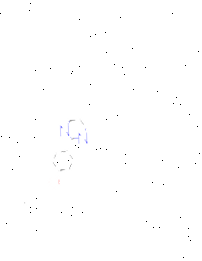 CCCCCCCCCCCCCCc1cnc(-c2ccc(OCCC[C@@H](C)CC)cc2)nc1